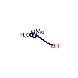 COc1cc(C)cc2ccc(CCCCCCCCCCCO)nc12